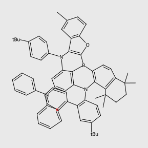 Cc1ccc2oc3c(c2c1)N(c1ccc(C(C)(C)C)cc1)c1cc(N(c2ccccc2)c2ccccc2)cc2c1B3c1ccc3c(c1N2c1ccc(C(C)(C)C)cc1-c1ccccc1)C(C)(C)CCC3(C)C